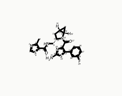 Cc1ncsc1C(=O)NC[C@@H]1C[C@@H]2C[C@@H]2N1C(=O)c1nc(N)sc1-c1cccc(F)c1